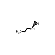 CCCNC1=NC1